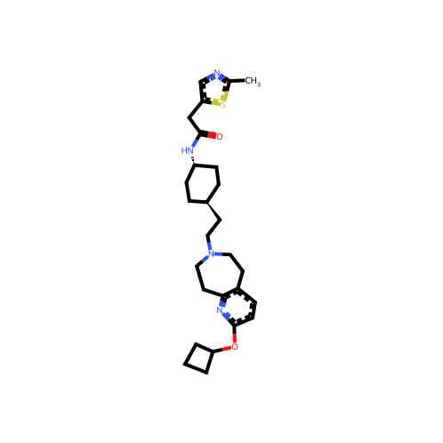 Cc1ncc(CC(=O)N[C@H]2CC[C@H](CCN3CCc4ccc(OC5CCC5)nc4CC3)CC2)s1